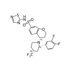 O=S(=O)(Nc1ncns1)c1ccc2c(c1)OCC[C@@H]2N1CC[C@@H](C(F)(F)F)C[C@H]1c1ccc(F)c(F)c1